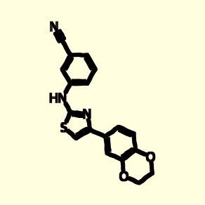 N#Cc1cccc(Nc2nc(-c3ccc4c(c3)OCCO4)cs2)c1